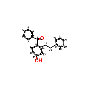 O=C(c1ccccc1)c1ccc(O)cc1CCc1ccccc1